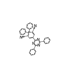 N#CC1=CC(c2nc(-c3ccccc3)nc(-c3ccccc3)n2)=CC(C#N)=P1(c1ccccc1)c1ccccc1